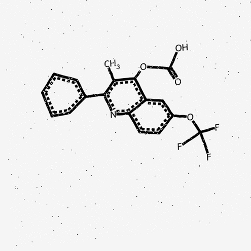 Cc1c(-c2ccccc2)nc2ccc(OC(F)(F)F)cc2c1OC(=O)O